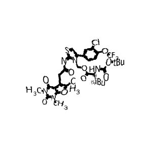 CC[C@H](C)[C@H](NC(=O)OC(C)(C)C)C(=O)OCn1c(-c2ccc(OC(F)(F)F)c(Cl)c2)csc1=NC(=O)Cc1c(C)oc2c1c(=O)n(C)c(=O)n2C